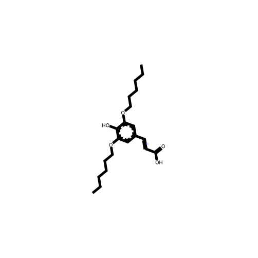 CCCCCCOc1cc(/C=C/C(=O)O)cc(OCCCCCC)c1O